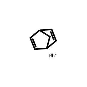 C1=CC2C=CC1C2.[Rh+]